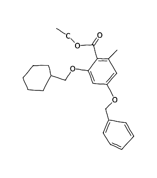 CCOC(=O)c1c(C)cc(OCc2ccccc2)cc1OCC1CCCCC1